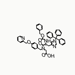 O=C(O)CN(Cc1ccc(OCc2ccccn2)cc1)C(=O)[C@H](Cc1cn(C(c2ccccc2)(c2ccccc2)c2ccccc2)cn1)NC(=O)OCc1ccccc1